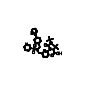 CC(C)(C)OC(=O)N(c1cccc(CN(Cc2ccc(-n3cccn3)cc2)S(=O)(=O)c2cccnc2)n1)C(C(=O)O)C(C)(C)C